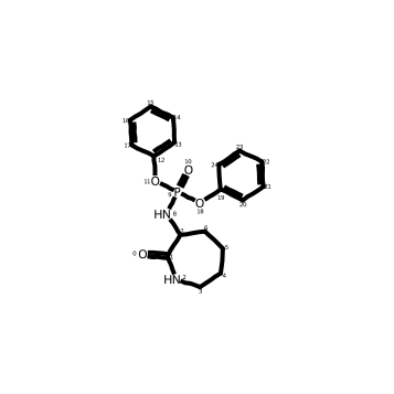 O=C1NCCCCC1NP(=O)(Oc1ccccc1)Oc1ccccc1